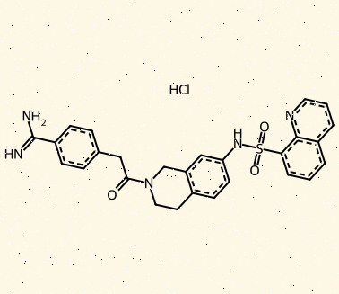 Cl.N=C(N)c1ccc(CC(=O)N2CCc3ccc(NS(=O)(=O)c4cccc5cccnc45)cc3C2)cc1